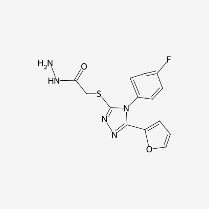 NNC(=O)CSc1nnc(-c2ccco2)n1-c1ccc(F)cc1